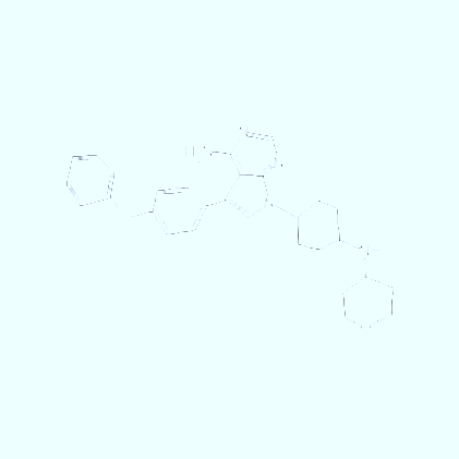 Nc1ncnc2c1c(-c1ccc(Oc3ccccc3)cc1)cn2C1CCC(NC2CCOCC2)CC1